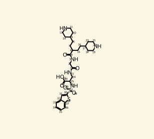 O=C(CNC(=O)C(CCC1CCNCC1)CCC1CCNCC1)NCC(NS(=O)(=O)c1cc2ccccc2s1)C(=O)O